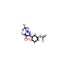 Cc1c(O)c(-c2cccc(SC(C)C)c2)nn1C(C)(C)C